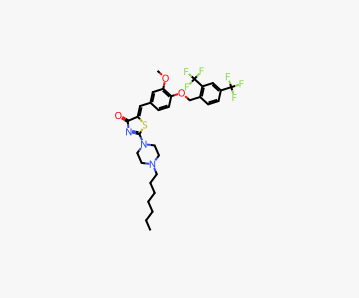 CCCCCCCN1CCN(C2=NC(=O)/C(=C/c3ccc(OCc4ccc(C(F)(F)F)cc4C(F)(F)F)c(OC)c3)S2)CC1